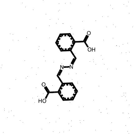 O=C(O)c1ccccc1/C=N\N=C/c1ccccc1C(=O)O